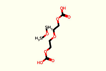 O=C(O)OCCOCCOC(=O)O.[SiH3]O[SiH3]